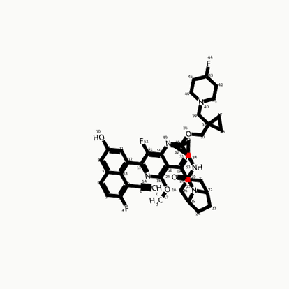 C#Cc1c(F)ccc2cc(O)cc(-c3nc(OC)c4c(N5CC6CCC(C5)N6C(=O)NC5CC5)nc(OCC5(CN6CCC(F)CC6)CC5)nc4c3F)c12